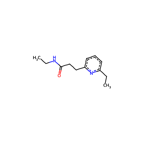 CCNC(=O)CCc1cccc(CC)n1